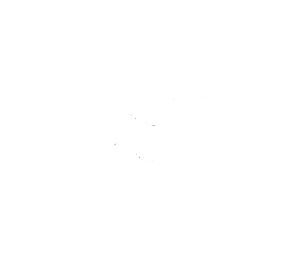 COc1ccc2c(c1O)CCN1C[C@H](c3cccc(C)c3)C(=NO)C[C@@H]21